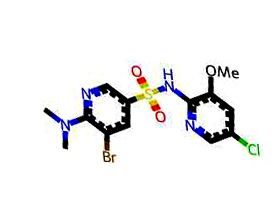 COc1cc(Cl)cnc1NS(=O)(=O)c1cnc(N(C)C)c(Br)c1